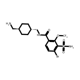 NC[C@H]1CC[C@H](CNC(=O)c2ccc(Br)c(S(N)(=O)=O)c2OC(F)(F)F)CC1